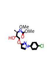 COC(=O)N(OC)[C@H](C)[C@H](O)COc1ccn(-c2ccc(Cl)cc2)n1